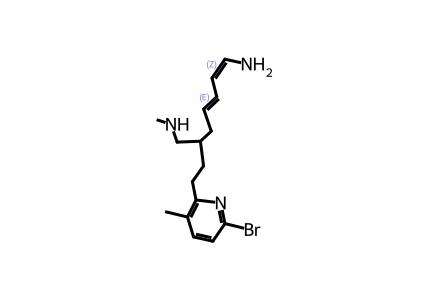 CNCC(C/C=C/C=C\N)CCc1nc(Br)ccc1C